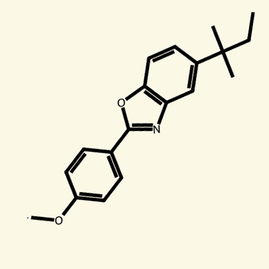 [CH2]Oc1ccc(-c2nc3cc(C(C)(C)CC)ccc3o2)cc1